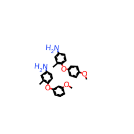 COc1ccc(Oc2ccc(N)cc2C)cc1.COc1cccc(Oc2ccc(N)cc2C)c1